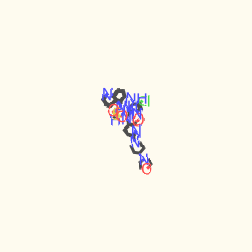 COc1nc(N2CCC(N3CCOCC3)CC2)ccc1Nc1ncc(Cl)c(Nc2ccc3ncccc3c2NS(C)(=O)=O)n1